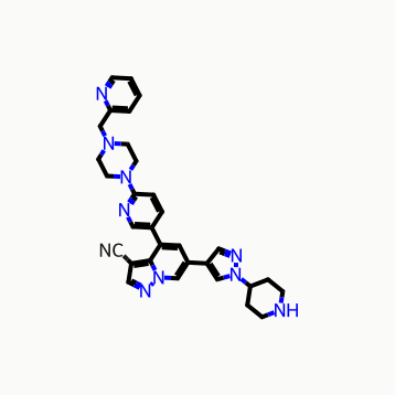 N#Cc1cnn2cc(-c3cnn(C4CCNCC4)c3)cc(-c3ccc(N4CCN(Cc5ccccn5)CC4)nc3)c12